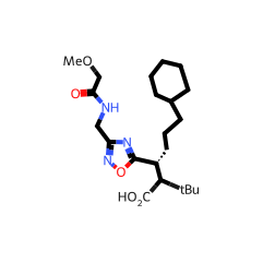 COCC(=O)NCc1noc([C@H](CCCC2CCCCC2)C(C(=O)O)C(C)(C)C)n1